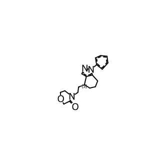 O=C1COCCN1CC[C@@H]1CCCc2c1cnn2-c1ccccc1